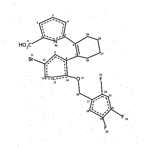 O=C(O)c1cccc(C2=C(c3cc(Br)ccc3OCc3cc(F)c(F)cc3F)CCCC2)n1